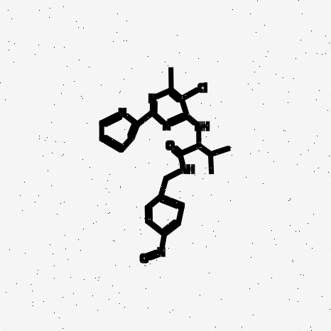 Cc1nc(-c2ccccn2)nc(NC(C(=O)NCc2ccc(N=O)cc2)C(C)C)c1Cl